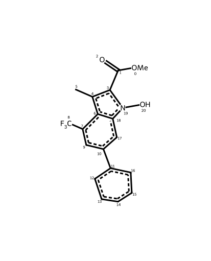 COC(=O)c1c(C)c2c(C(F)(F)F)cc(-c3ccccc3)cc2n1O